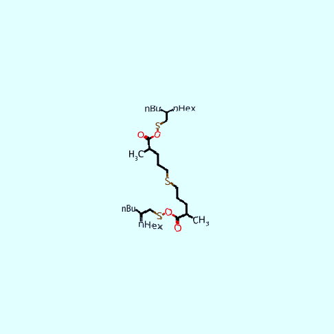 CCCCCCC(CCCC)CSOC(=O)C(C)CCCSCCCC(C)C(=O)OSCC(CCCC)CCCCCC